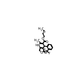 COCCOC(=O)C1=C(C)NC2=C(C(=O)OC2)C1c1ccccc1C(F)(F)F